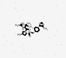 CC(=O)N[C@H](C(=O)N1C[C@H](O)C[C@H]1C(=O)NC[C@H]1CC[C@@H](c2scnc2C)CC1)C(C)(C)C